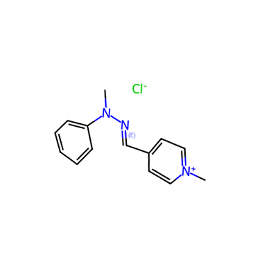 CN(/N=C/c1cc[n+](C)cc1)c1ccccc1.[Cl-]